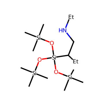 CCNCC(CC)[Si](O[Si](C)(C)C)(O[Si](C)(C)C)O[Si](C)(C)C